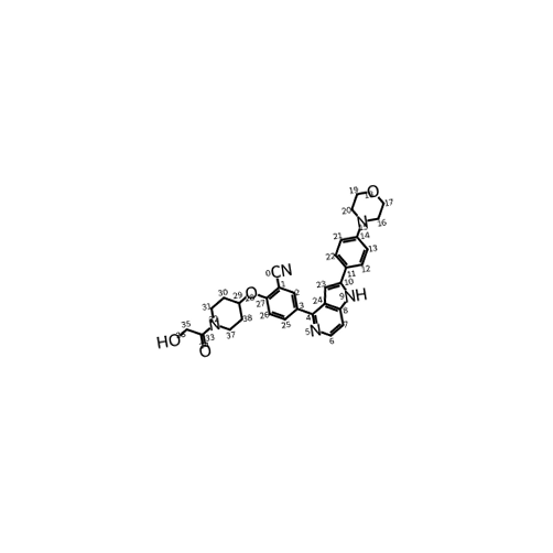 N#Cc1cc(-c2nccc3[nH]c(-c4ccc(N5CCOCC5)cc4)cc23)ccc1OC1CCN(C(=O)CO)CC1